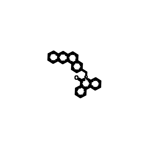 O=c1c2ccccc2c2ccccc2n1Cc1ccc2c(ccc3cc4ccccc4cc32)c1